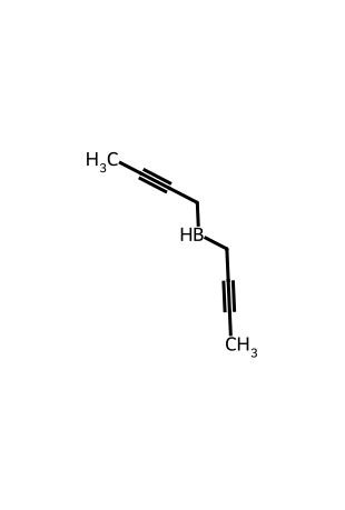 CC#CCBCC#CC